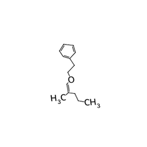 CCCC(C)=COCCc1ccccc1